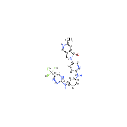 Cc1cc2c(cn1)CN(c1ccc(N[C@H]3CC[C@H](Nc4ncc(C(F)(F)F)nn4)C3)nc1)C2=O